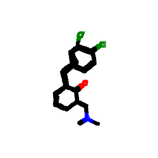 CN(C)CC1CCCC(=Cc2ccc(Cl)c(Cl)c2)C1=O